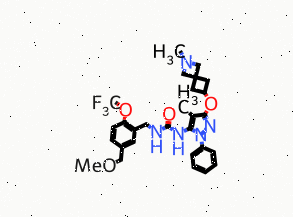 COCc1ccc(OC(F)(F)F)c(CNC(=O)Nc2c(C)c(OC3CC4(C3)CN(C)C4)nn2-c2ccccc2)c1